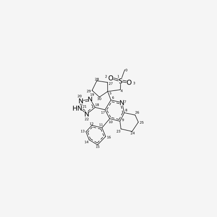 CS(=O)(=O)CC1(c2nc3c(c(-c4ccccc4)c2-c2nn[nH]n2)CCCC3)CCCC1